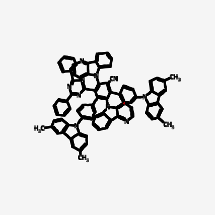 Cc1ccc2c(c1)c1cc(C)ccc1n2-c1ccc(-c2c(C#N)c(-n3c4ccccc4c4ncccc43)c(-c3nc(-c4ccccc4)nc(-c4ccccc4)n3)c(-c3ccc(-n4c5ccc(C)cc5c5cc(C)ccc54)cc3)c2-n2c3ccccc3c3ncccc32)cc1